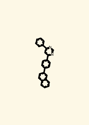 c1ccc(-c2cc(-c3ccc(-c4ccc5ccccc5c4)cc3)ncn2)cc1